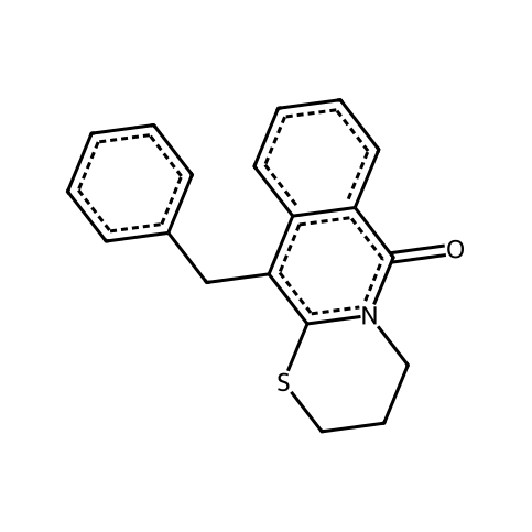 O=c1c2ccccc2c(Cc2ccccc2)c2n1CCCS2